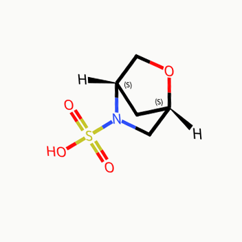 O=S(=O)(O)N1C[C@@H]2C[C@H]1CO2